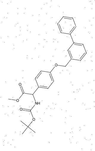 COC(=O)C(NC(=O)OC(C)(C)C)c1ccc(OCc2cccc(-c3ccccc3)c2)cc1